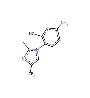 Cc1nc(C(F)(F)F)cn1-c1ccc(N)cc1C#N